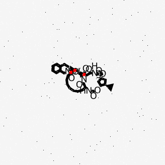 C1CC1.O=C1NC2CCCCCCCC3CC3NC(=O)C3(CC(OC(=O)N4CCc5ccccc5C4)CN3C2=O)C(=O)NS(=O)(=O)C2CCC(C2)O1